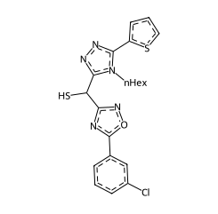 CCCCCCn1c(-c2cccs2)nnc1C(S)c1noc(-c2cccc(Cl)c2)n1